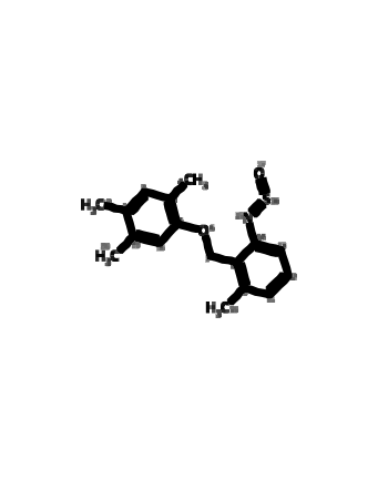 Cc1cc(C)c(OCc2c(C)cccc2N=S=O)cc1C